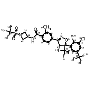 Cc1cc(C2=NOC(c3cc(C(F)(F)F)cc(Cl)c3F)(C(F)(F)F)C2)ccc1C(=O)NC1CN(S(=O)(=O)C(F)(F)F)C1